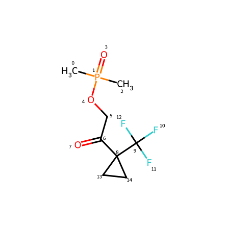 CP(C)(=O)OCC(=O)C1(C(F)(F)F)CC1